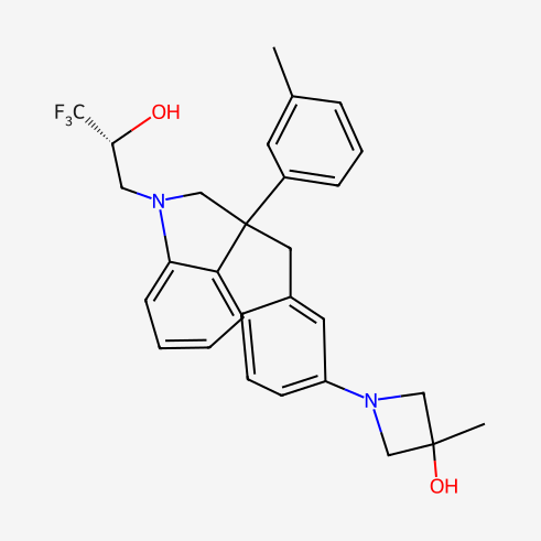 Cc1cccc(C2(Cc3cccc(N4CC(C)(O)C4)c3)CN(C[C@@H](O)C(F)(F)F)c3ccccc32)c1